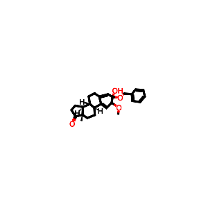 COC1C=C2C(=CC1(O)OCc1ccccc1)CC[C@@H]1[C@@H]2CC[C@]2(C)C(=O)CC[C@@H]12